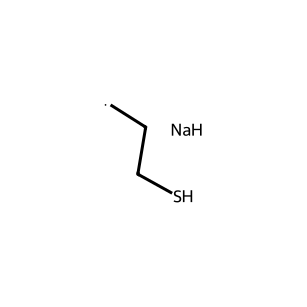 [CH2]CCS.[NaH]